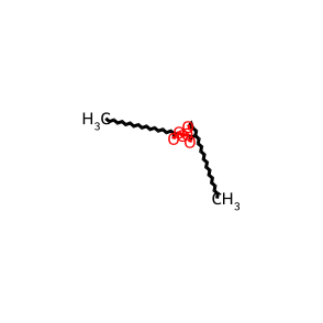 CCCCCCCCCCCCCCCCCC(=O)OOOC(=O)C(CCCCCCCCCCCCCCCC)CC1CO1